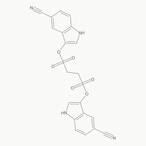 N#Cc1ccc2[nH]cc(OS(=O)(=O)CCS(=O)(=O)Oc3c[nH]c4ccc(C#N)cc34)c2c1